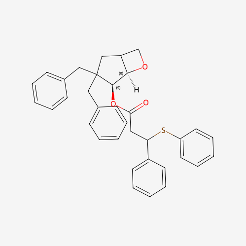 O=C(CC(Sc1ccccc1)c1ccccc1)O[C@@H]1[C@@H]2OCC2CC1(Cc1ccccc1)Cc1ccccc1